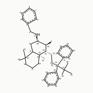 C[C@@H]1[C@H](NCc2cccnc2)CC2C(C)(C)CCC[C@]2(C)[C@H]1CO[Si](c1ccccc1)(c1ccccc1)C(C)(C)C